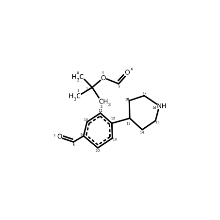 CC(C)(C)OC=O.O=Cc1ccc(C2CCNCC2)cc1